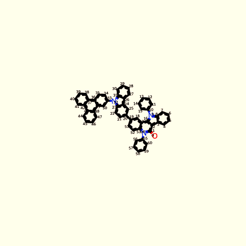 O=c1c2c3ccccc3n(-c3ccccc3)c2c2cc(-c3ccc4c(c3)c3ccccc3n4-c3ccc4c5ccccc5c5ccccc5c4c3)ccc2n1-c1ccccc1